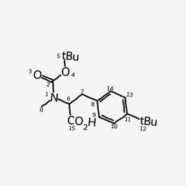 CN(C(=O)OC(C)(C)C)C(Cc1ccc(C(C)(C)C)cc1)C(=O)O